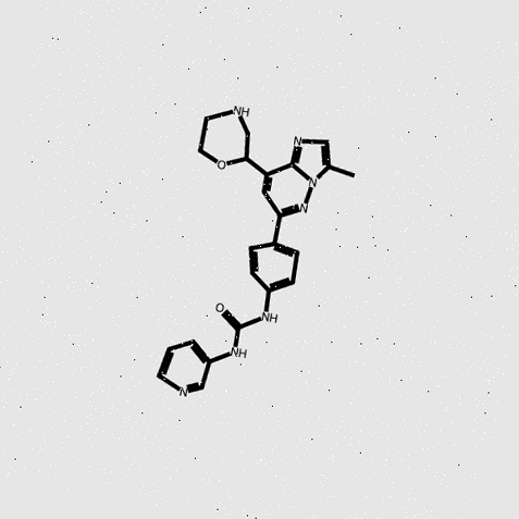 Cc1cnc2c(C3CNCCO3)cc(-c3ccc(NC(=O)Nc4cccnc4)cc3)nn12